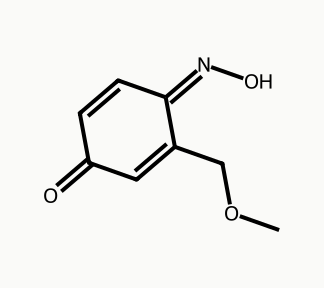 COCC1=CC(=O)C=C/C1=N/O